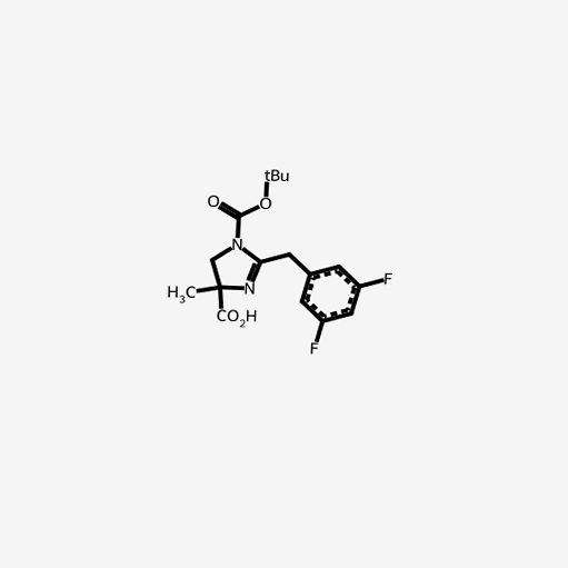 CC(C)(C)OC(=O)N1CC(C)(C(=O)O)N=C1Cc1cc(F)cc(F)c1